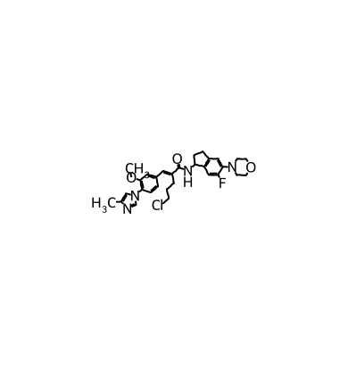 COc1cc(/C=C(\CCCCl)C(=O)NC2CCc3cc(N4CCOCC4)c(F)cc32)ccc1-n1cnc(C)c1